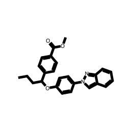 CCCC(Oc1ccc(-n2cc3ccccc3n2)cc1)c1ccc(C(=O)OC)cc1